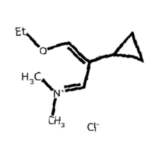 CCOC=C(C=[N+](C)C)C1CC1.[Cl-]